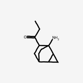 CCC(=O)C1CC2CCC1(N)C1CC21